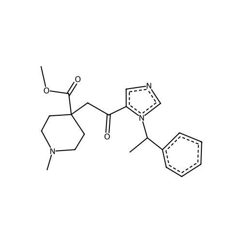 COC(=O)C1(CC(=O)c2cncn2C(C)c2ccccc2)CCN(C)CC1